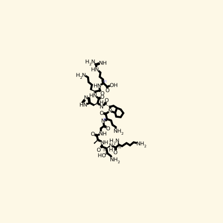 C[C@H](NC(=O)[C@@H](NC(=O)[C@@H](N)CCCCN)[C@@H](O)CN)C(=O)NCC(=O)/N=C(\CCCN)C(=O)N1C2CCCCC2C[C@H]1C(=O)N[C@@H](Cc1cnc[nH]1)C(=O)N[C@@H](CCCCN)C(=O)N/C(=C\CCNC(=N)N)C(=O)O